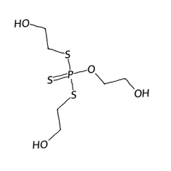 OCCOP(=S)(SCCO)SCCO